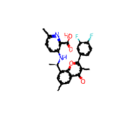 Cc1cc([C@@H](C)Nc2ccc(C)nc2C(=O)O)c2oc(-c3ccc(F)c(F)c3)c(C)c(=O)c2c1